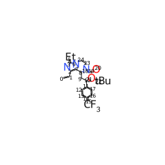 C=Cc1nc(CC)n2c1C(CCc1ccc(C(F)(F)F)cc1)N(C(=O)OC(C)(C)C)CC2